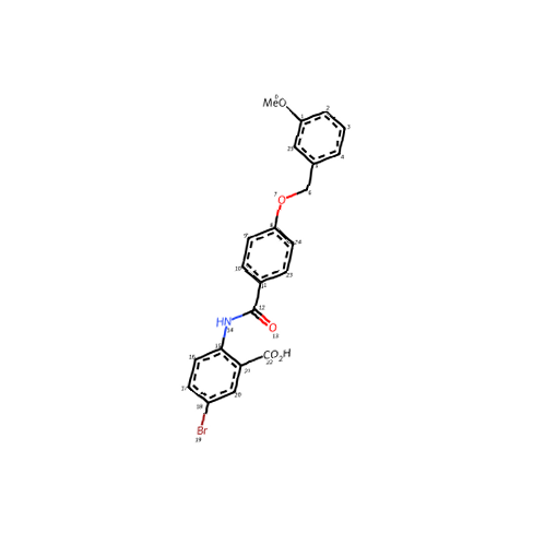 COc1cccc(COc2ccc(C(=O)Nc3ccc(Br)cc3C(=O)O)cc2)c1